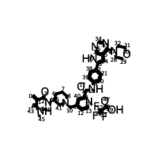 C=C(C(=O)N[C@@H]1CCCN(Cc2ccnc(C(=O)Nc3ccc(-c4cc5c(N6CCOCC6)ncnc5[nH]4)cc3)c2)C1)[C@@H](C)N(C)C.O=C(O)C(F)(F)F